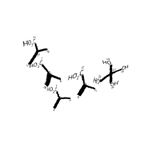 C=C(C)C(=O)O.C=C(C)C(=O)O.C=C(C)C(=O)O.C=C(C)C(=O)O.OC(O)(O)O